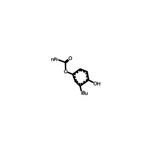 CCCC(=O)Oc1ccc(O)c(C(C)CC)c1